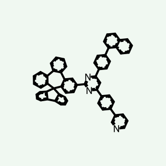 c1cncc(-c2ccc(-c3cc(-c4ccc(-c5cccc6ccccc56)cc4)nc(-c4ccc5c(c4)-c4ccccc4-c4ccccc4C54c5ccccc5-c5ccccc54)n3)cc2)c1